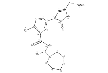 COCc1nn(-c2ccc(Cl)c(C(=O)NC(O)C3CCCCCC3)c2)c(=O)[nH]1